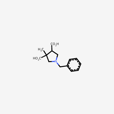 CC1(C(=O)O)CN(Cc2ccccc2)CC1C(=O)O